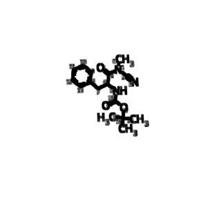 CN(C#N)C(=O)C(Cc1ccccc1)NC(=O)OC(C)(C)C